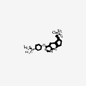 CCS(=O)(=O)CC1CCC2=C1Cc1c(O[C@H]3CC[C@H](N(C)C)CC3)ncnc1S2